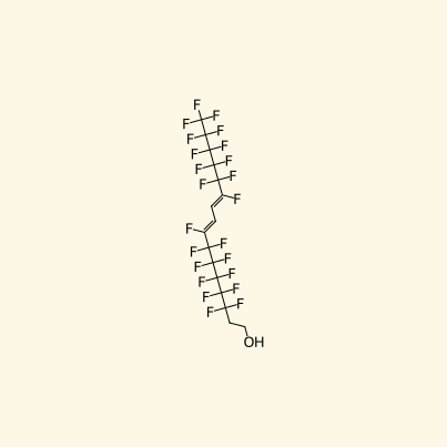 OCCC(F)(F)C(F)(F)C(F)(F)C(F)(F)C(F)(F)C(F)=CC=C(F)C(F)(F)C(F)(F)C(F)(F)C(F)(F)C(F)(F)F